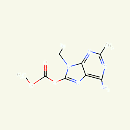 [3H]Cn1c(OC(=O)OC)nc2c(N)nc(C)nc21